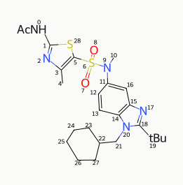 CC(=O)Nc1nc(C)c(S(=O)(=O)N(C)c2ccc3c(c2)nc(C(C)(C)C)n3CC2CCCCC2)s1